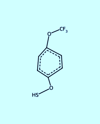 FC(F)(F)Oc1ccc(OS)cc1